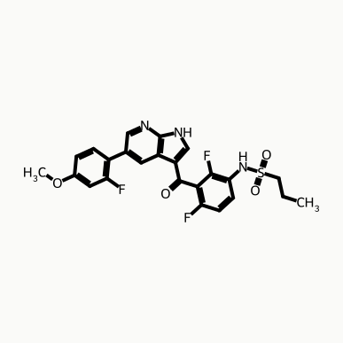 CCCS(=O)(=O)Nc1ccc(F)c(C(=O)c2c[nH]c3ncc(-c4ccc(OC)cc4F)cc23)c1F